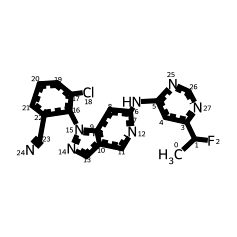 CC(F)c1cc(Nc2cc3c(cn2)cnn3-c2c(Cl)cccc2C#N)ncn1